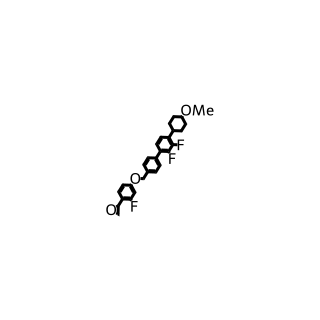 COC1CCC(c2ccc(-c3ccc(COc4ccc(C5CO5)c(F)c4)cc3)c(F)c2F)CC1